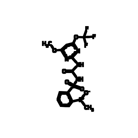 COc1cc(OC(F)(F)F)nc(NC(=O)NS(=O)(=O)c2ccccc2[S+](C)[O-])n1